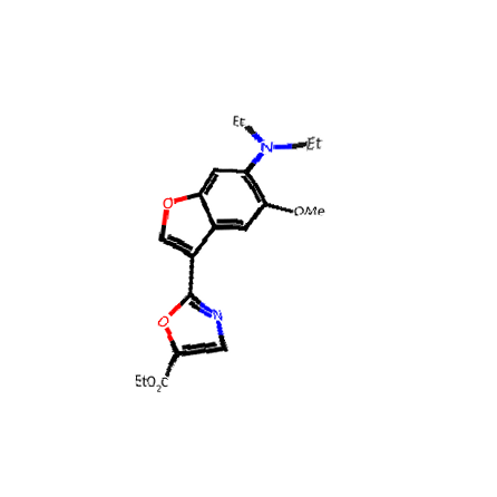 CCOC(=O)c1cnc(-c2coc3cc(N(CC)CC)c(OC)cc23)o1